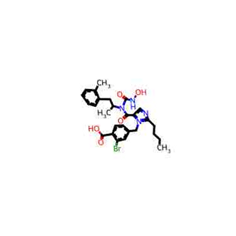 CCCCc1ncc(C(=O)N(C(=O)NO)C(C)Cc2ccccc2C)n1Cc1ccc(C(=O)O)c(Br)c1